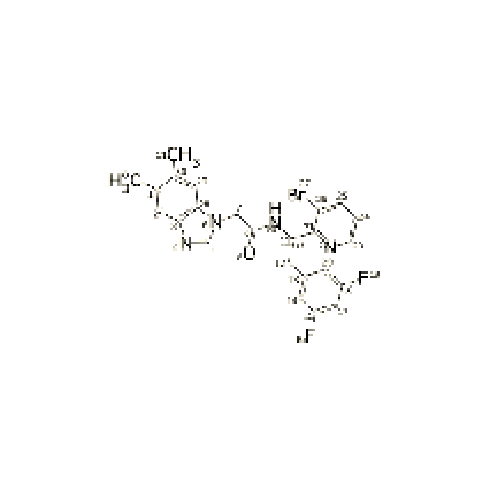 Cc1cc2ncn(CC(=O)N[C@@H](Cc3cc(F)cc(F)c3)c3ncccc3Br)c2cc1C